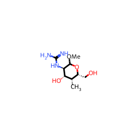 COC1O[C@H](CO)[C@H](C)[C@H](O)[C@H]1NC(=N)N